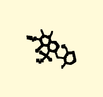 Cc1c(C(=O)O)c(=O)c2c(S(N)(=O)=O)c(Cc3c(F)cccc3Cl)ccc2n1C